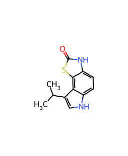 CC(C)c1c[nH]c2ccc3[nH]c(=O)sc3c12